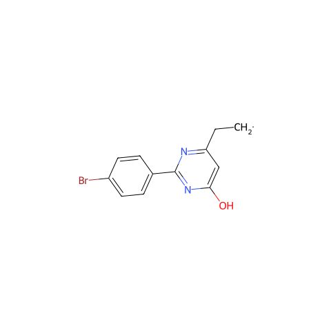 [CH2]Cc1cc(O)nc(-c2ccc(Br)cc2)n1